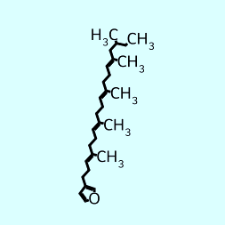 CCC(C)C/C(C)=C/CC/C(C)=C/CC/C(C)=C/CC/C(C)=C/CCc1ccoc1